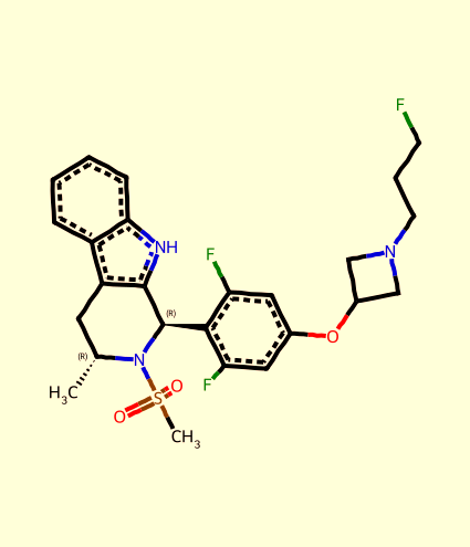 C[C@@H]1Cc2c([nH]c3ccccc23)[C@@H](c2c(F)cc(OC3CN(CCCF)C3)cc2F)N1S(C)(=O)=O